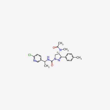 CC(=O)N(C)[C@H]1CN(C(=O)NC(C)c2ccc(Cl)nc2)N=C1c1ccc(C)cc1